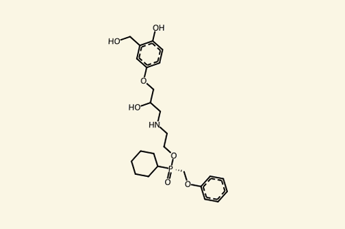 O=[P@](COc1ccccc1)(OCCNCC(O)COc1ccc(O)c(CO)c1)C1CCCCC1